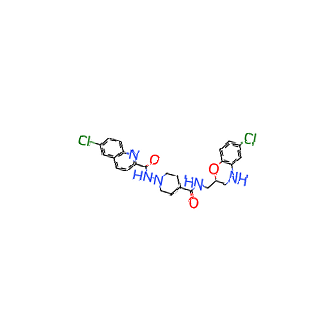 O=C(NN1CCC(C(=O)NCC2CNc3cc(Cl)ccc3O2)CC1)c1ccc2cc(Cl)ccc2n1